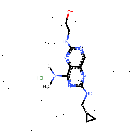 CN(C)c1nc(NCC2CC2)nc2cnc(NCCO)nc12.Cl